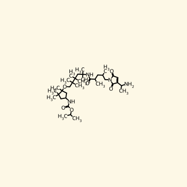 CC(CC(C)C(=O)NC(C)(C)CC(C)(C)C(C)(C)COC1(C)CC(NC(=O)OC(C)C)CC1(C)C)CN1C(=O)C=C(C(C)N)C1=O